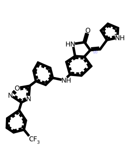 O=C1Nc2cc(Nc3cccc(-c4nc(-c5cccc(C(F)(F)F)c5)no4)c3)ccc2/C1=C/c1ccc[nH]1